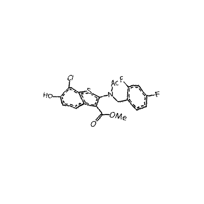 COC(=O)c1c(N(Cc2ccc(F)cc2F)C(C)=O)sc2c(Cl)c(O)ccc12